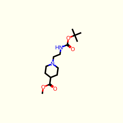 COC(=O)C1CCN(CCNC(=O)OC(C)(C)C)CC1